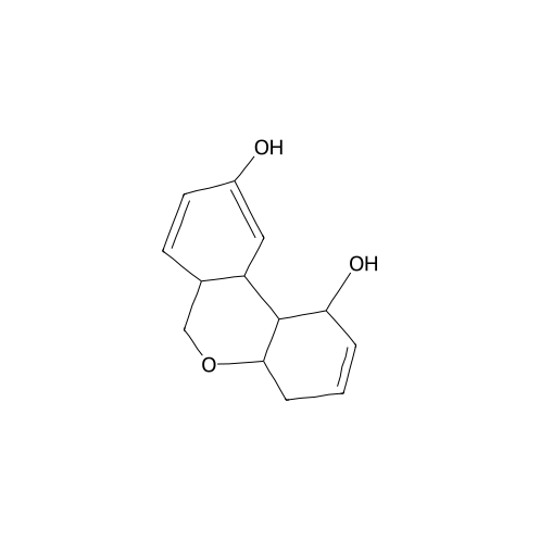 OC1=CC2C(C=C1)COC1CC=CC(O)C12